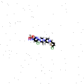 CC[C@H]1CN(c2ncc(NS(C)(=O)=O)cc2Cl)CCN1C1CCN(CC2=CCC(Cl)S2)CC1